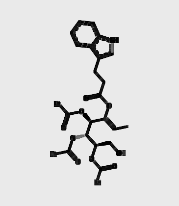 C/C=C(\OC(=O)CCc1c[nH]c2ccccc12)[C@H](OC(=O)CC)[C@@H](OC(=O)CC)[C@@H](CO)OC(=O)CC